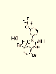 CN(C(=N)Nc1cc(Br)ccc1Br)c1cccc(OC(F)(F)F)c1.Cl